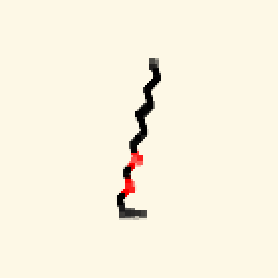 [Li][CH2]C/C=C/CCOCOCCCCCCC